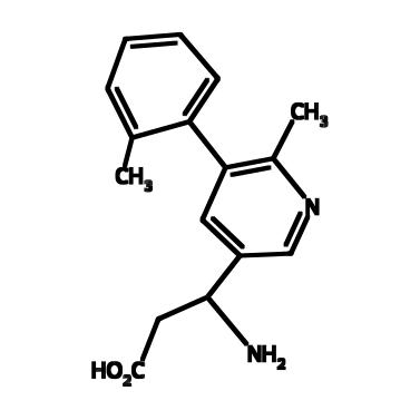 Cc1ccccc1-c1cc(C(N)CC(=O)O)cnc1C